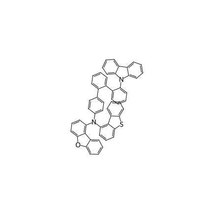 c1ccc(-c2ccccc2-n2c3ccccc3c3ccccc32)c(-c2ccc(N(c3cccc4oc5ccccc5c34)c3cccc4sc5ccccc5c34)cc2)c1